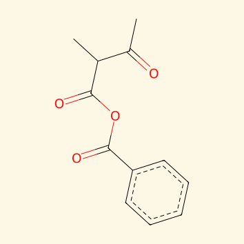 CC(=O)C(C)C(=O)OC(=O)c1ccccc1